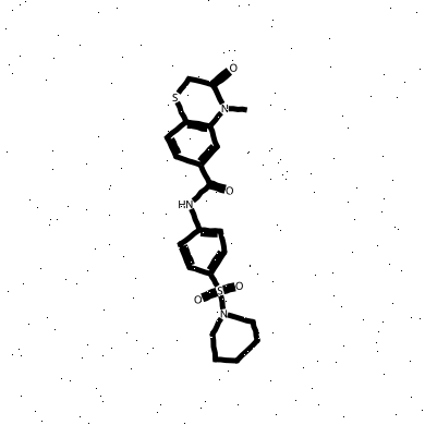 CN1C(=O)CSc2ccc(C(=O)Nc3ccc(S(=O)(=O)N4CCCCC4)cc3)cc21